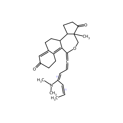 C/C=C\C(=C/C=C=C1OCC2(C)C(=O)CCC2C2CCC3=CC(=O)CCC3=C12)N(C)C